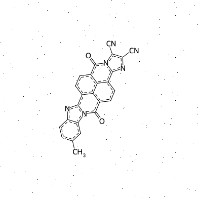 Cc1ccc2nc3c4ccc5c(=O)n6c(C#N)c(C#N)nc6c6ccc(c(=O)n3c2c1)c4c56